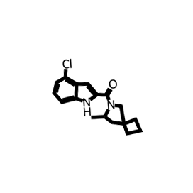 CC1CC2(CCC2)CN1C(=O)c1cc2c(Cl)cccc2[nH]1